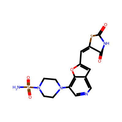 NS(=O)(=O)N1CCN(c2cncc3cc(C=C4SC(=O)NC4=O)oc23)CC1